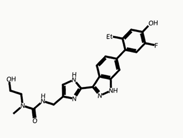 CCc1cc(O)c(F)cc1-c1ccc2c(-c3nc(CNC(=O)N(C)CCO)c[nH]3)n[nH]c2c1